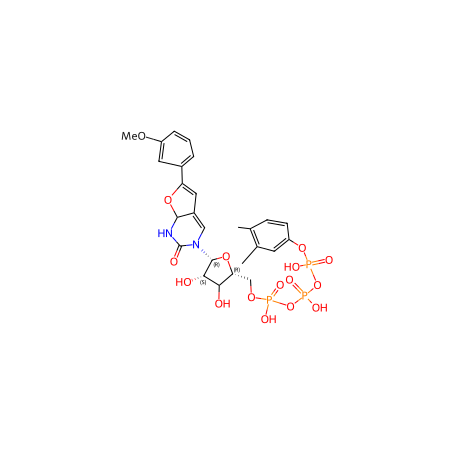 COc1cccc(C2=CC3=CN([C@@H]4O[C@H](COP(=O)(O)OP(=O)(O)OP(=O)(O)Oc5ccc(C)c(C)c5)C(O)[C@@H]4O)C(=O)NC3O2)c1